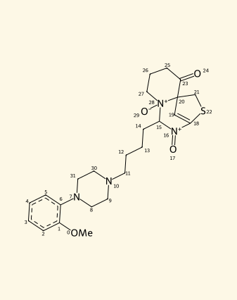 COc1ccccc1N1CCN(CCCCC2[N+](=O)C3=CC4(CS3)C(=O)CCC[N+]24[O-])CC1